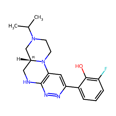 CC(C)N1CCN2c3cc(-c4cccc(F)c4O)nnc3NC[C@@H]2C1